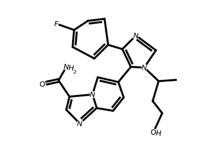 CC(CCO)n1cnc(-c2ccc(F)cc2)c1-c1ccc2ncc(C(N)=O)n2c1